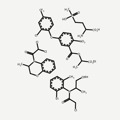 CC1COc2ccccc2N1C(=O)C(Cl)Cl.CCOC(=O)C(C)OC(=O)c1cc(Oc2ccc(C(F)(F)F)cc2Cl)ccc1[N+](=O)[O-].CCc1cccc(C)c1N(C(=O)CCl)C(C)COC.CP(=O)(O)CCC(N)C(=O)O